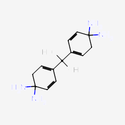 CC(C)(C1=CCC(N)(N)C=C1)C1=CCC(N)(N)C=C1